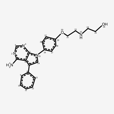 Nc1ncnc2c1c(-c1ccccc1)cn2-c1ccc(OCCNCCO)cc1